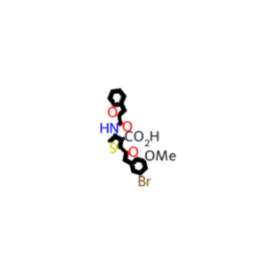 COc1cc(Br)cc2cc(-c3scc(NC(=O)c4cc5ccccc5o4)c3C(=O)O)oc12